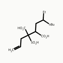 C=CCC(C(=O)O)(C(CC(CC)CCCC)C(=O)O)S(=O)(=O)O